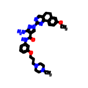 COc1ccc2c(c1)CCc1cnc(-n3cc(C(=O)Nc4cccc(OCCCN5CCN(C)CC5)c4)c(N)n3)nc1-2